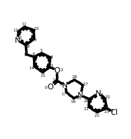 O=C(Oc1ccc(Cc2ccccn2)cc1)N1CCN(c2ccc(Cl)cn2)CC1